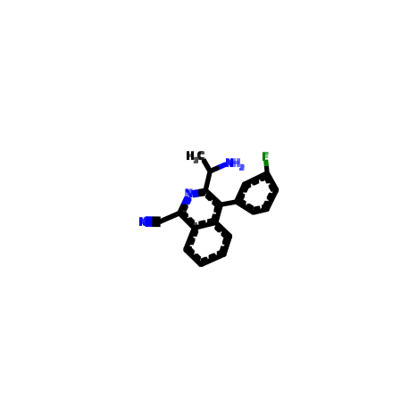 CC(N)c1nc(C#N)c2ccccc2c1-c1cccc(F)c1